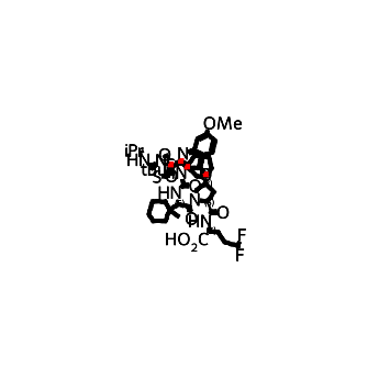 COc1ccc2c(O[C@@H]3C[C@@H](C(=O)N[C@@H](CCC(F)F)C(=O)O)N(C(=O)[C@@H](NC(=O)NC4(CS(=O)(=O)C(C)(C)C)CCCCC4)C4(C)CCCCC4)C3)cc(-c3csc(NC(C)C)n3)nc2c1